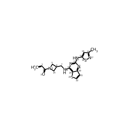 C=CC(=O)N1CC(CNc2nc(Nc3cc(C)ns3)nc3ccsc23)C1